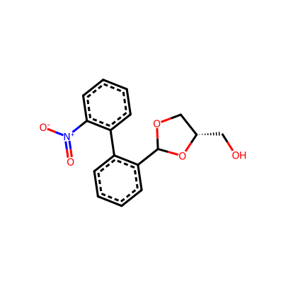 O=[N+]([O-])c1ccccc1-c1ccccc1C1OC[C@H](CO)O1